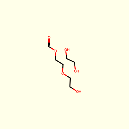 O=COCCOCCO.OCCO